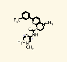 C=N/C=C(\N=C/C)NC(=O)N1CCN(C)c2ccc(-c3cccc(C(F)(F)F)c3)nc21